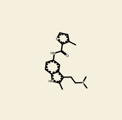 Cc1ccsc1C(=O)Nc1ccc2[nH]c(C)c(CCN(C)C)c2c1